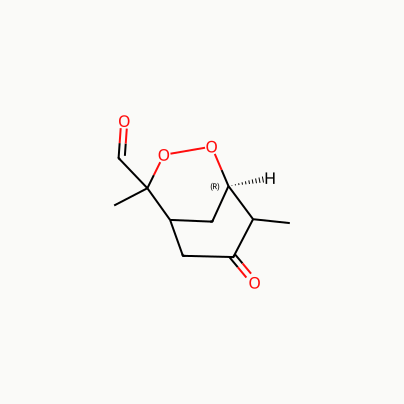 CC1C(=O)CC2C[C@H]1OOC2(C)C=O